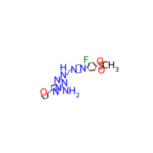 CS(=O)(=O)c1ccc(N2CCN(CCNc3nc(N)n4nc(-c5ccco5)cc4n3)CC2)c(F)c1